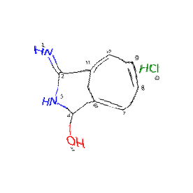 Cl.N=C1NC(O)c2ccccc21